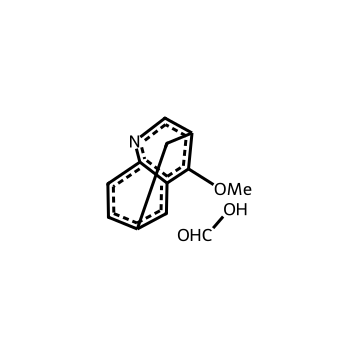 COc1c2cnc3ccc(cc13)C2.O=CO